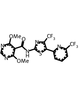 COc1ncnc(OC)c1C(=O)Nc1nc(C(F)(F)F)c(-c2cccc(C(F)(F)F)n2)s1